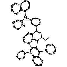 CCC1C=C(c2cccc(N(c3ccccn3)c3cccc4ccccc34)c2)c2cccc3c2C1c1c-3c(-c2ccccc2)c2ccccc2c1-c1ccccc1